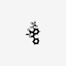 Cn1nc(-c2ccccc2)c2cccc(NS(C)(=O)=O)c2c1=O